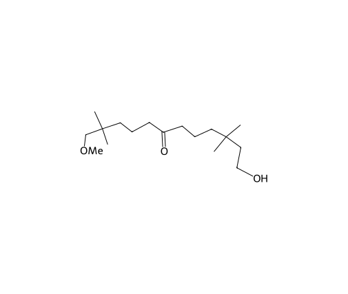 COCC(C)(C)CCCC(=O)CCCC(C)(C)CCO